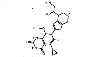 COC1c2[nH]c(=O)[nH]c(=O)c2C(C2CC2)=C(F)C1c1cc2c(s1)CCCC2C(O)CN